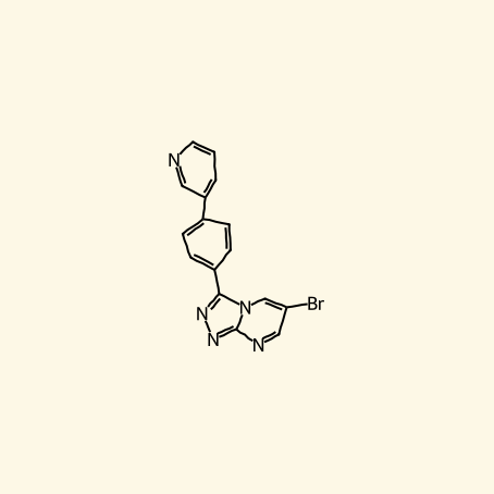 Brc1cnc2nnc(-c3ccc(-c4cccnc4)cc3)n2c1